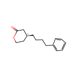 O=C1C[C@@H](CCCCc2ccccc2)CCO1